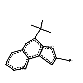 CC(C)(C)c1cc2ccccc2c2cc(Br)oc12